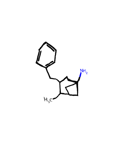 CC1C(Cc2ccccc2)CC2(N)CC1C2